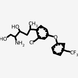 CC(CC(O)C(N)CO)c1ccc(Oc2cccc(C(F)(F)F)c2)cc1Cl